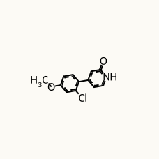 COc1ccc(-c2cc[nH]c(=O)c2)c(Cl)c1